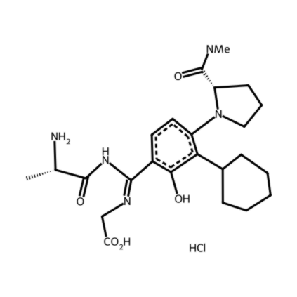 CNC(=O)[C@@H]1CCCN1c1ccc(C(=NCC(=O)O)NC(=O)[C@H](C)N)c(O)c1C1CCCCC1.Cl